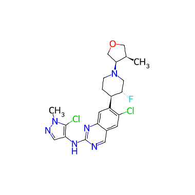 C[C@@H]1COC[C@@H]1N1CC[C@H](c2cc3nc(Nc4cnn(C)c4Cl)ncc3cc2Cl)[C@@H](F)C1